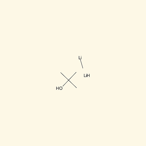 CC(C)(C)O.[LiH].[Li][CH3]